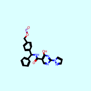 O=POCc1ccc(C(NC(=O)c2cnc(-n3cccn3)nc2O)c2ccccc2)cc1